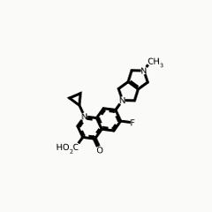 CN1CC2=C(C1)CN(c1cc3c(cc1F)c(=O)c(C(=O)O)cn3C1CC1)C2